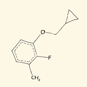 Cc1cccc(OCC2CC2)c1F